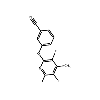 Cc1c(F)c(F)nc(Oc2cccc(C#N)c2)c1F